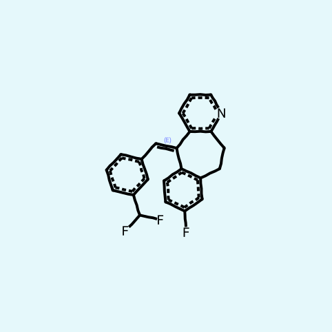 Fc1ccc2c(c1)CCc1ncccc1/C2=C/c1cccc(C(F)F)c1